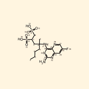 CCCCC(C)(CC(CS(=O)(=O)O)S(=O)(=O)O)Nc1nc(N)nc2cc(F)cnc12